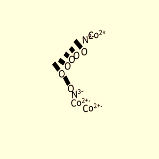 C=O.C=O.C=O.C=O.C=O.C=O.[Co+2].[Co+2].[Co+2].[N-3].[N-3]